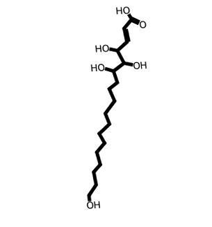 O=C(O)C=CC(O)C(O)C(O)CCCCCCCCCCCCO